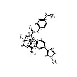 Cn1cnc(-c2ccc(O[C@H]3[C@@H]4CC[C@H]3CN(C(=O)Cc3ccc(OC(F)(F)F)cc3)C4)c(C(N)=O)c2)c1